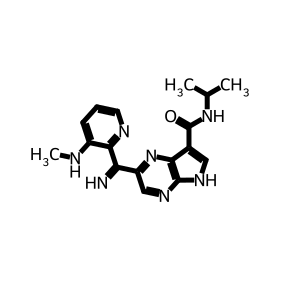 CNc1cccnc1C(=N)c1cnc2[nH]cc(C(=O)NC(C)C)c2n1